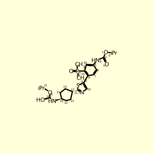 CC(C)OC(=O)Nc1ccc(-c2cnc([C@H]3CC[C@H](NC(O)OC(C)C)CC3)s2)c(P(C)(C)=O)c1